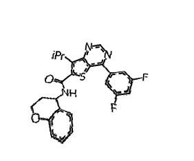 CC(C)c1c(C(=O)NC2CCOc3ccccc32)sc2c(-c3cc(F)cc(F)c3)ncnc12